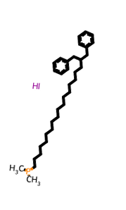 CP(C)CCCCCCCCCCCCCCCCCC(Cc1ccccc1)Cc1ccccc1.I